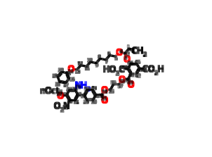 C=CC(=O)OCCCCCCCCCOc1ccccc1.CCCCCCCCOc1cc(N)c(-c2ccc(C(=O)OCCCOC(=O)c3cc(C(=O)O)ccc3C(=O)O)cc2)cc1[N+](=O)[O-]